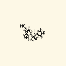 C[C@H]1Cn2ncc(N3CC(C#N)CC3=O)c2CN1C(=O)Nc1cc(F)c(F)c(F)c1